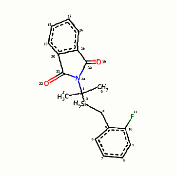 CC(C)([SiH2]Cc1ccccc1F)N1C(=O)c2ccccc2C1=O